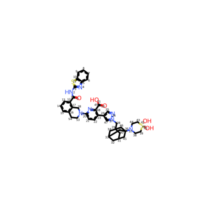 O=C(Nc1nc2ccccc2s1)c1cccc2c1CN(c1ccc(-c3cnn(CC45CC6CC(C4)CC(N4CCS(O)(O)CC4)(C6)C5)c3)c(C(=O)O)n1)CC2